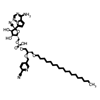 CCCCCCCCCCCCCCCCCCOC[C@H](COP(=O)(O)OC[C@H]1O[C@@](C#N)(c2ccc3c(N)ncnn23)[C@H](O)[C@@H]1O)OCc1ccc(C#N)nc1